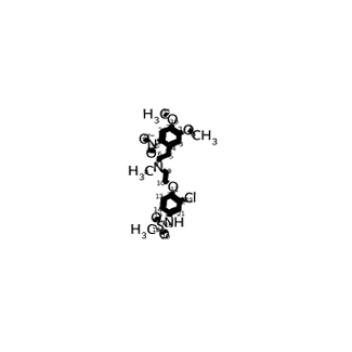 COc1cc(CCN(C)CCOc2ccc(NS(C)(=O)=O)cc2Cl)c([N+](=O)[O-])cc1OC